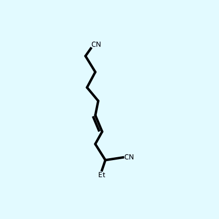 CCC(C#N)CC=CCCCCC#N